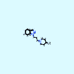 CCC1CCN(CCCn2ncc3ccccc32)CC1